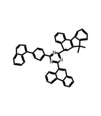 CC1(C)c2ccccc2-c2c1cc(-c1nc(-c3ccc(-c4cccc5ccccc45)cc3)nc(-c3cc4ccccc4c4ccccc34)n1)c1ccccc21